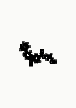 CC(C)(CO)COC(=O)c1cnc2[nH]c3cnc(-c4cccnc4)cc3c2c1